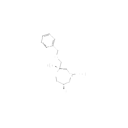 CC(C)(C)[C@@]1(COCc2ccccc2)CN(C(=O)O)C[C@@H](O)CO1